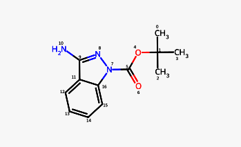 CC(C)(C)OC(=O)n1nc(N)c2ccccc21